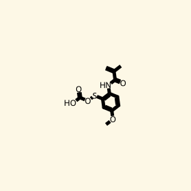 C=C(C)C(=O)Nc1ccc(OC)cc1SOC(=O)O